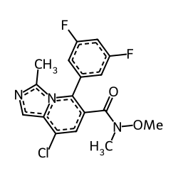 CON(C)C(=O)c1cc(Cl)c2cnc(C)n2c1-c1cc(F)cc(F)c1